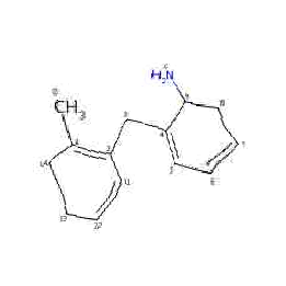 CC1=C(CC2=CC=CCC2N)C=CCC1